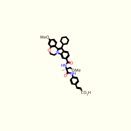 COC[C@](C)(NC(=O)c1ccc2c(C3CCCCC3)c3n(c2c1)CCOc1cc(OC)ccc1-3)C(=O)Nc1ccc(/C=C/C(=O)O)cc1